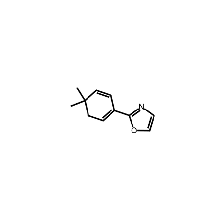 CC1(C)C=CC(c2ncco2)=CC1